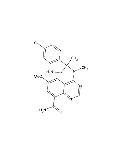 COc1cc(C(N)=O)c2ncnc(N(C)C(C)(CN)c3ccc(Cl)cc3)c2c1